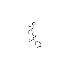 O=C(OC12CC(C1)[C@H](CO)C2)c1ccccc1